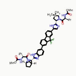 COC(=O)N[C@H](C(=O)N1C[Si](C)(C)C[C@H]1c1ncc(-c2ccc3c(c2)C(F)(F)c2cc(-c4ccc5nc([C@@H]6[C@H]7CC[C@H](C7)N6C(=O)[C@H](NC(=O)OC)C(C)C)[nH]c5c4)ccc2-3)[nH]1)C(C)C